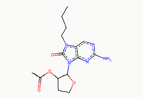 CCCCn1c(=O)n(C2OCCC2OC(C)=O)c2nc(N)ncc21